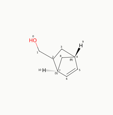 OCC1C[C@@H]2C=C[C@@H]1C2